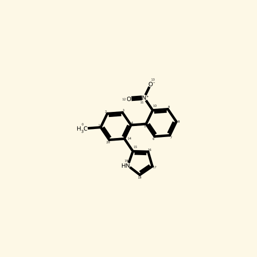 Cc1ccc(-c2ccccc2[N+](=O)[O-])c(-c2ccc[nH]2)c1